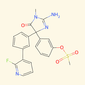 CN1C(=O)C(c2cccc(OS(C)(=O)=O)c2)(c2cccc(-c3cccnc3F)c2)N=C1N